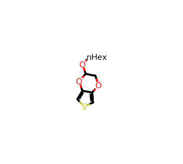 CCCCCCOC1COc2cscc2O1